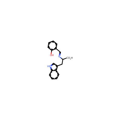 O=C(O)C(Cc1c[nH]c2ccccc12)/N=C/c1ccccc1O